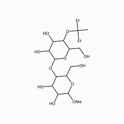 CCC(C)(CC)OC1C(CO)OC(OC2C(CO)OC(OC)C(O)C2O)C(O)C1O